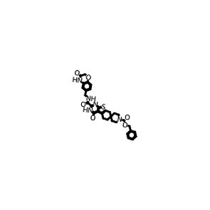 O=C1COc2ccc(CNC(=O)c3nc4sc5c(c4c(=O)[nH]3)CCC3(CCN(C(=O)OCc4ccccc4)CC3)C5)cc2N1